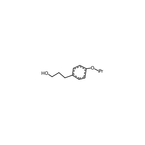 CC(C)Oc1ccc(CCCO)cc1